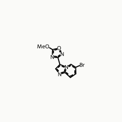 COc1nc(-c2cnc3ccc(Br)cn23)no1